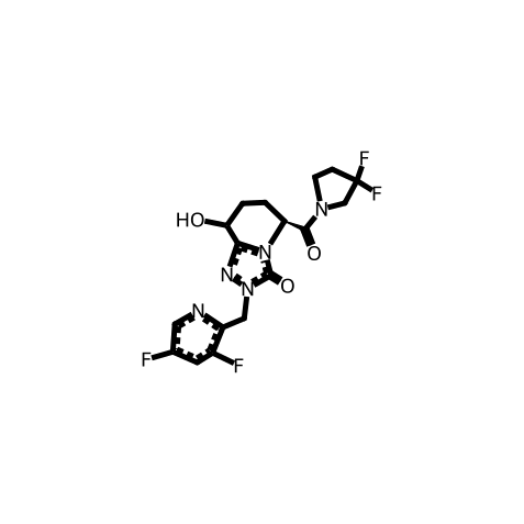 O=C([C@@H]1CCC(O)c2nn(Cc3ncc(F)cc3F)c(=O)n21)N1CCC(F)(F)C1